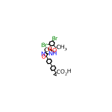 Cc1noc(-c2ccc(-c3ccc(C4(C(=O)O)CC4)cc3)cc2)c1NC(=O)O[C@H](C)c1cc(Br)cc(Br)c1